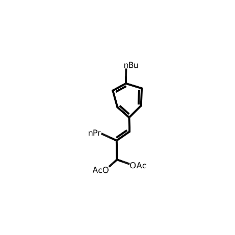 CCCCc1ccc(/C=C(\CCC)C(OC(C)=O)OC(C)=O)cc1